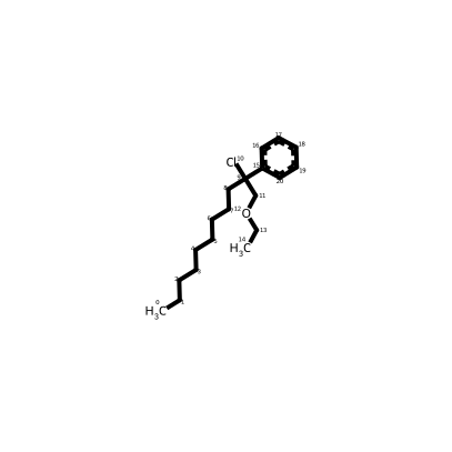 CCCCCCCCCC(Cl)(COCC)c1ccccc1